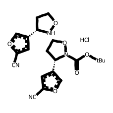 CC(C)(C)OC(=O)N1OCC[C@H]1c1coc(C#N)c1.Cl.N#Cc1cc([C@@H]2CCON2)co1